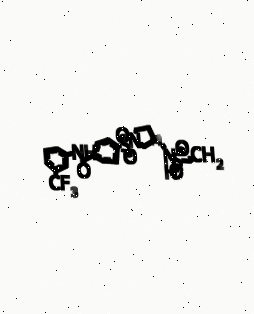 C=CS(=O)(=O)NC[C@H]1CCN(S(=O)(=O)c2ccc(C(=O)Nc3cccc(C(F)(F)F)c3)cc2)C1